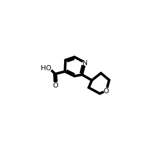 O=C(O)c1ccnc(C2CCOCC2)c1